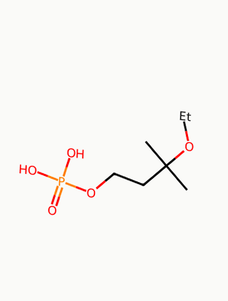 CCOC(C)(C)CCOP(=O)(O)O